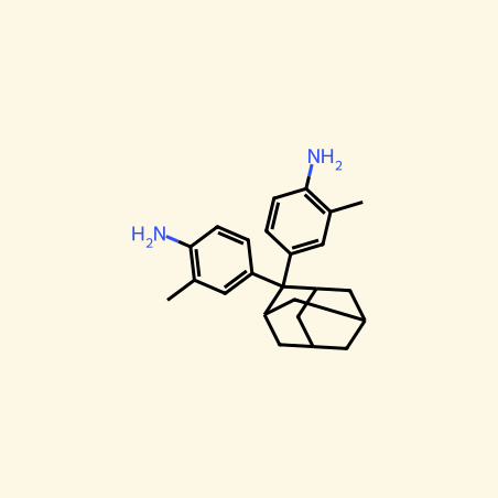 Cc1cc(C2(c3ccc(N)c(C)c3)C3CC4CC(C3)CC2C4)ccc1N